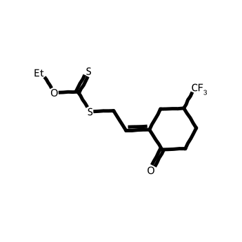 CCOC(=S)SCC=C1CC(C(F)(F)F)CCC1=O